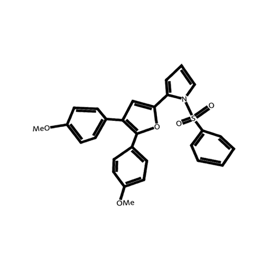 COc1ccc(-c2cc(-c3cccn3S(=O)(=O)c3ccccc3)oc2-c2ccc(OC)cc2)cc1